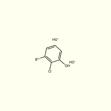 [B+2]c1cccc(O)c1Cl.[OH-].[OH-]